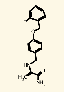 C=C(NCc1ccc(OCc2ccccc2F)cc1)C(N)=O